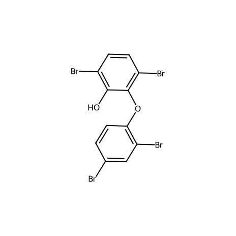 Oc1c(Br)ccc(Br)c1Oc1ccc(Br)cc1Br